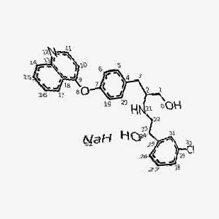 OC[C@H](Cc1ccc(Oc2ccnc3c[c]ccc23)cc1)NC[C@@H](O)c1cccc(Cl)c1.[NaH]